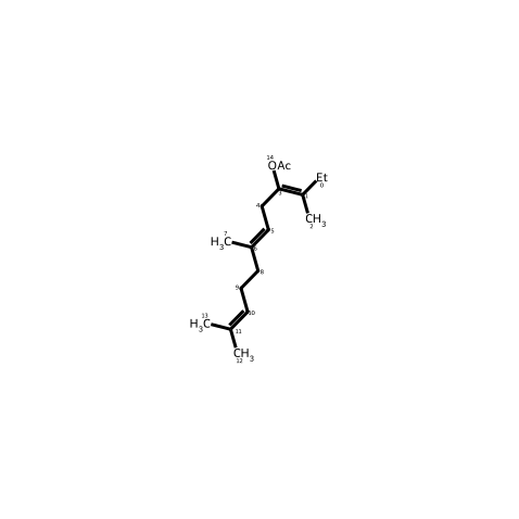 CCC(C)=C(C/C=C(\C)CCC=C(C)C)OC(C)=O